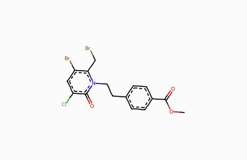 COC(=O)c1ccc(CCn2c(CBr)c(Br)cc(Cl)c2=O)cc1